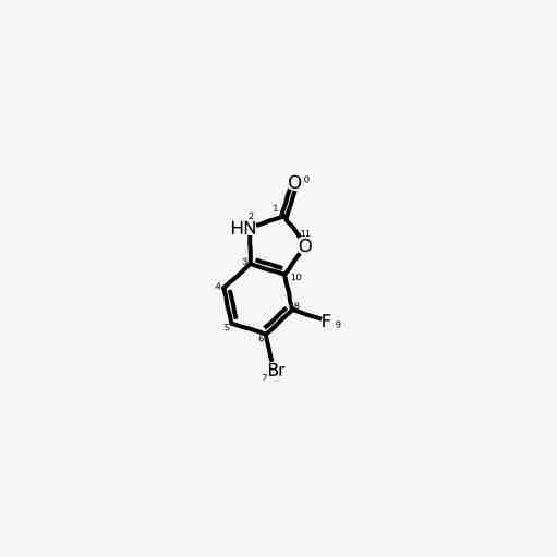 O=c1[nH]c2ccc(Br)c(F)c2o1